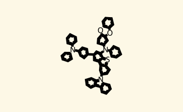 c1ccc(N(c2ccccc2)c2ccc(-c3cc(N(c4ccccc4)c4ccc5c(c4)Oc4ccccc4O5)c4sc5ccc(-n6c7ccccc7c7ccccc76)cc5c4c3)cc2)cc1